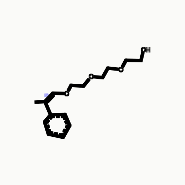 C/C(=C/OCCOCCOCCO)c1ccccc1